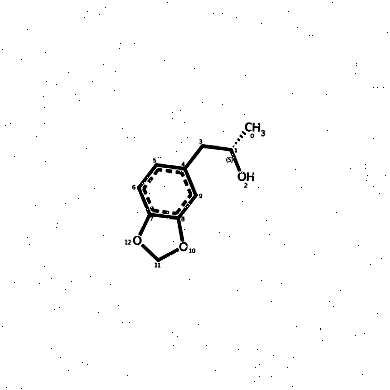 C[C@H](O)Cc1ccc2c(c1)OCO2